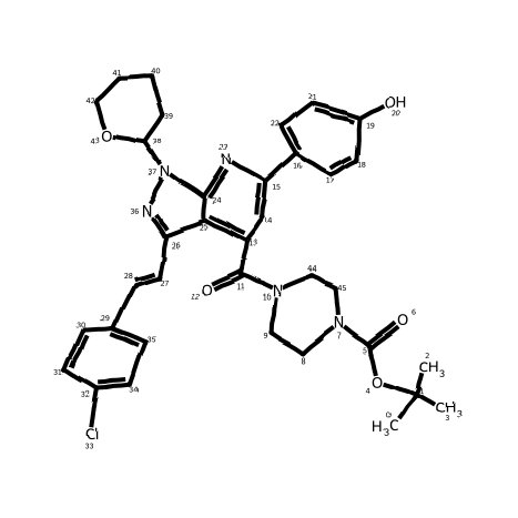 CC(C)(C)OC(=O)N1CCN(C(=O)c2cc(-c3ccc(O)cc3)nc3c2c(C=Cc2ccc(Cl)cc2)nn3C2CCCCO2)CC1